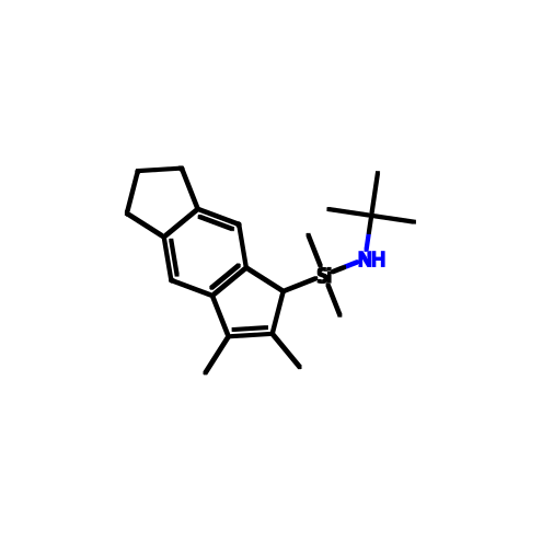 CC1=C(C)C([Si](C)(C)NC(C)(C)C)c2cc3c(cc21)CCC3